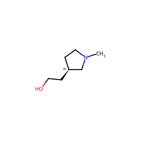 CN1CC[C@H](CCO)C1